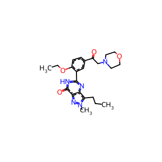 CCCc1c2nc(-c3cc(C(=O)CN4CCOCC4)ccc3OCC)[nH]c(=O)c2nn1C